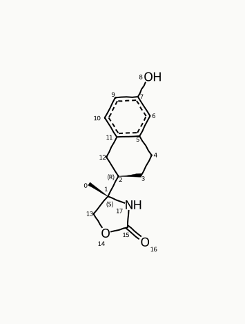 C[C@]1([C@@H]2CCc3cc(O)ccc3C2)COC(=O)N1